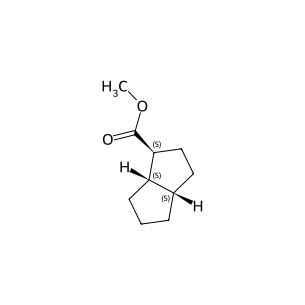 COC(=O)[C@H]1CC[C@@H]2CCC[C@@H]21